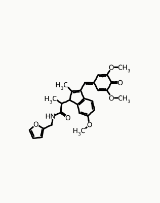 COC1=CC(=CC2=C(C)C(C(C)C(=O)NCc3ccco3)c3cc(OC)ccc32)C=C(OC)C1=O